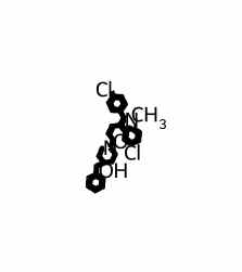 Cn1c(-c2ccc(Cl)cc2)c(/C=C\C(=O)N2CCC(O)(Cc3ccccc3)CC2)c2cc(Cl)ccc21